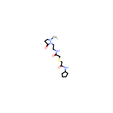 CN1CCC(=O)N1CCNC(=O)CSCC(=O)NC1CCCC1